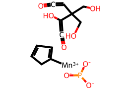 O=C=CC(CO)(CO)C(O)=C=O.[Mn+3][C]1=CC=CC1.[O-]P([O-])[O-]